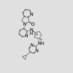 O=C1c2ncccc2CN1c1cccnc1N[C@H]1CC[C@H](Nc2ncc(C3CC3)cn2)C1